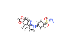 Cc1c([C@]2(C(F)(F)F)C=CN(c3ccc(S(N)(=O)=O)cc3)N2)ccc2c1OCO2